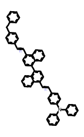 C(=C\c1ccc(-c2ccc(/C=C/c3ccc(N(c4ccccc4)c4ccccc4)cc3)c3ccccc23)c2ccccc12)/c1ccc(Cc2ccccc2)cc1